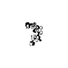 CCCC(NC(=O)Oc1ccoc1)C(=O)N1CCC2C1C(=O)CN2S(=O)(=O)Cc1cccnc1